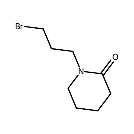 O=C1CCCCN1CCCBr